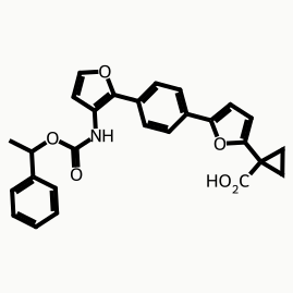 CC(OC(=O)Nc1ccoc1-c1ccc(-c2ccc(C3(C(=O)O)CC3)o2)cc1)c1ccccc1